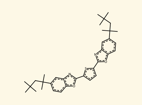 CC(C)(C)CC(C)(C)c1ccc2oc(-c3ccc(-c4nc5cc(C(C)(C)CC(C)(C)C)ccc5o4)s3)nc2c1